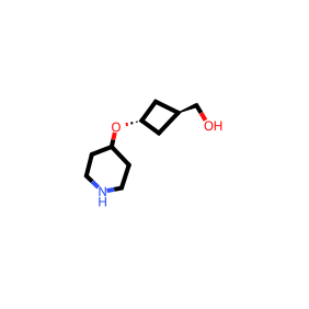 OC[C@H]1C[C@H](OC2CCNCC2)C1